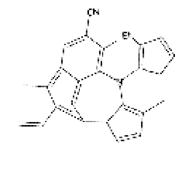 C=Cc1c2cc3c(c(C)c(C#N)cc3c1C)N(C1=C(CC)C=CC1)C1=C(C)C=CC12